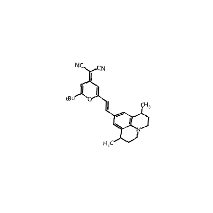 CC1CCN2CCC(C)c3cc(/C=C/C4=CC(=C(C#N)C#N)C=C(C(C)(C)C)O4)cc1c32